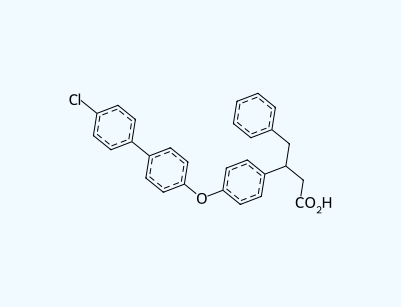 O=C(O)CC(Cc1ccccc1)c1ccc(Oc2ccc(-c3ccc(Cl)cc3)cc2)cc1